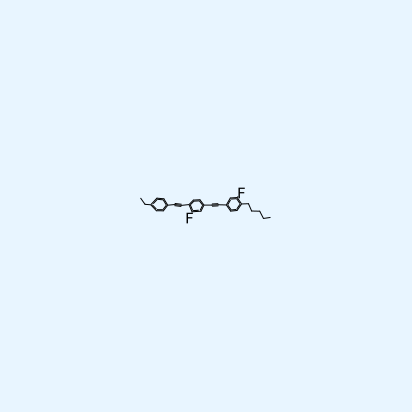 CCCCCc1ccc(C#Cc2ccc(C#Cc3ccc(CC)cc3)c(F)c2)cc1F